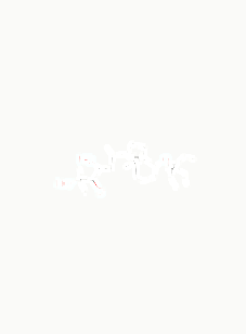 CC[Si](CC)(CC)OC1CCC[C@]2(C)C(C(C)CC(O)C(=O)C(C)(C)O)CCC12